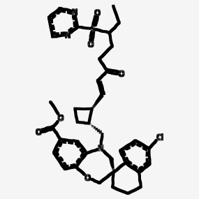 CCC(CCC(=O)/C=C/[C@@H]1CC[C@H]1CN1C[C@@]2(CCCc3cc(Cl)ccc32)COc2ccc(C(=O)OC)cc21)S(=O)(=O)c1ncccn1